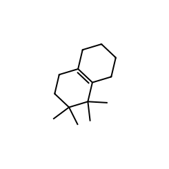 CC1(C)CCC2=C(CCCC2)C1(C)C